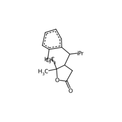 Cc1ccccc1C(C(C)C)C1CC(=O)OC1(C)C